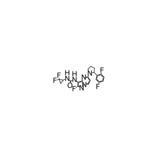 O=C(Nc1c(F)nn2ccc(N3CCCC3c3cc(F)ccc3F)nc12)NC1CC1(F)F